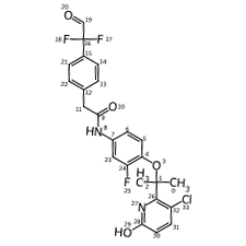 CC(C)(Oc1ccc(NC(=O)Cc2ccc(C(F)(F)C=O)cc2)cc1F)c1nc(O)ccc1Cl